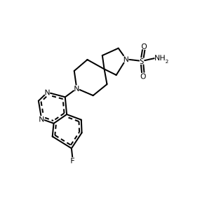 NS(=O)(=O)N1CCC2(CCN(c3ncnc4cc(F)ccc34)CC2)C1